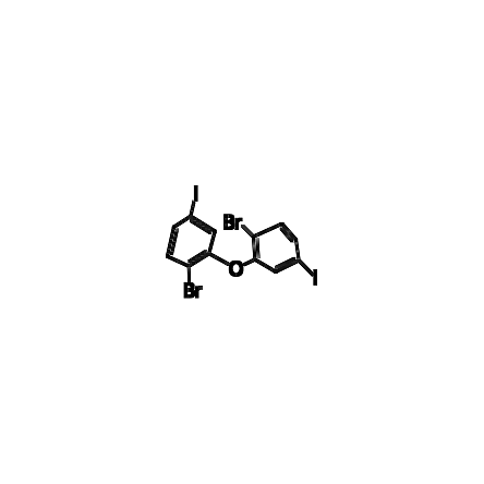 Brc1ccc(I)cc1Oc1cc(I)ccc1Br